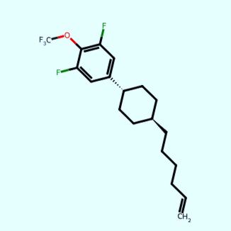 C=CCCCC[C@H]1CC[C@H](c2cc(F)c(OC(F)(F)F)c(F)c2)CC1